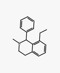 CCc1cccc2c1C(c1ccccc1)N(C)CC2